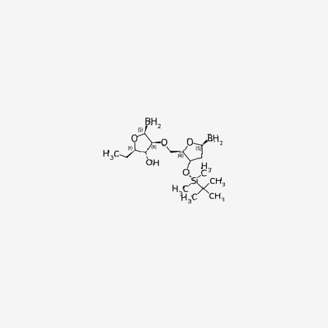 B[C@@H]1O[C@H](CC)C(O)[C@@H]1OC[C@H]1O[C@@H](B)CC1O[Si](C)(C)C(C)(C)C